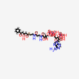 CC(C)(COP(=O)(O)OP(=O)(O)OCC1OC(C)(n2cnc3c(N)ncnc32)C(O)C1OP(=O)(O)O)C(O)C(=O)NCCC(=O)NCCSC(=O)CC(O)CC(=O)c1ccccc1